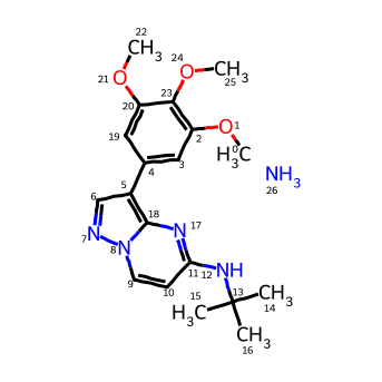 COc1cc(-c2cnn3ccc(NC(C)(C)C)nc23)cc(OC)c1OC.N